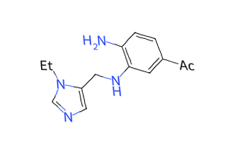 CCn1cncc1CNc1cc(C(C)=O)ccc1N